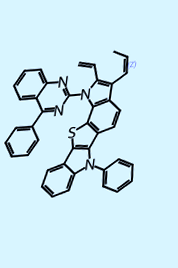 C=Cc1c(/C=C\C)c2ccc3c(sc4c5ccccc5n(-c5ccccc5)c34)c2n1-c1nc(-c2ccccc2)c2ccccc2n1